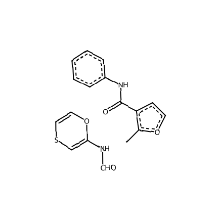 Cc1occc1C(=O)Nc1ccccc1.O=CNC1=CSC=CO1